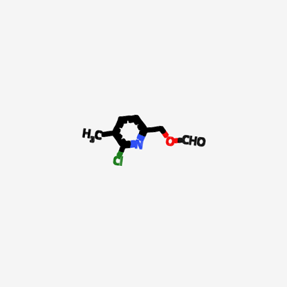 Cc1ccc(COC=O)nc1Cl